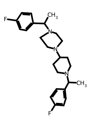 CC(c1ccc(F)cc1)N1CCC(N2CCN(C(C)c3ccc(F)cc3)CC2)CC1